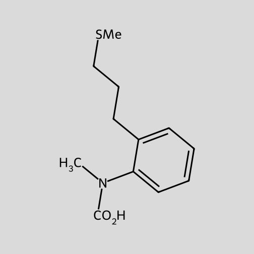 CSCCCc1ccccc1N(C)C(=O)O